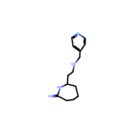 N=C1CCCCC(CCNCc2ccncc2)N1